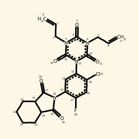 C=CCn1c(=O)n(CC=C)c(=O)n(-c2cc(N3C(=O)C4CCCCC4C3=O)c(F)cc2Cl)c1=O